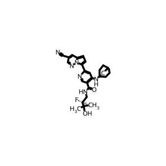 CC(C)(O)[C@H](F)CNC(=O)c1cnc(-c2ccc3cc(C#N)cnn23)cc1NC12CCC(CC1)CC2